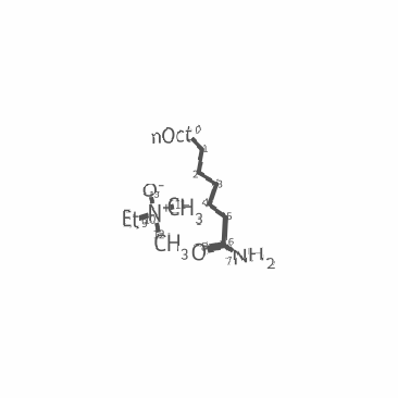 CCCCCCCCCCCCCC(N)=O.CC[N+](C)(C)[O-]